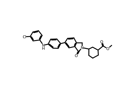 COC(=O)C1CCCC(N2Cc3ccc(-c4ccc(Nc5cccc(Cl)c5)cc4)cc3C2=O)C1